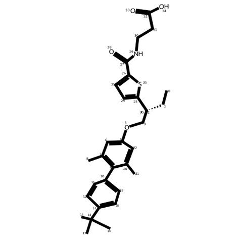 CC[C@H](COc1cc(C)c(-c2ccc(C(C)(C)C)cc2)c(C)c1)c1ccc(C(=O)NCCC(=O)O)s1